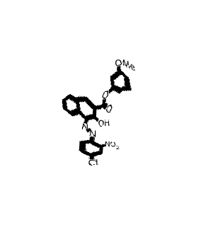 COc1cccc(OC(=O)c2cc3ccccc3c(N=Nc3ccc(Cl)cc3[N+](=O)[O-])c2O)c1